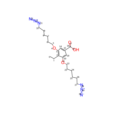 CCc1c(OCCCCCCN=[N+]=[N-])cc(C(=O)O)cc1OCCCCCCN=[N+]=[N-]